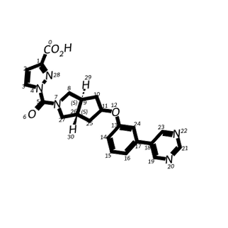 O=C(O)c1ccn(C(=O)N2C[C@H]3CC(Oc4cccc(-c5cncnc5)c4)C[C@@H]3C2)n1